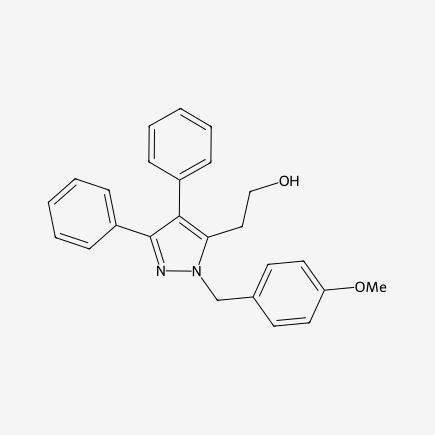 COc1ccc(Cn2nc(-c3ccccc3)c(-c3ccccc3)c2CCO)cc1